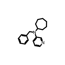 c1ccc(CN(c2cccnc2)C2CCCCCC2)cc1